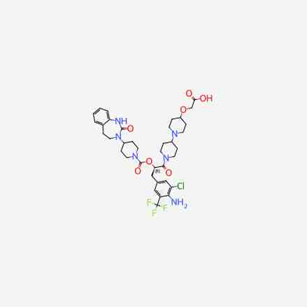 Nc1c(Cl)cc(C[C@@H](OC(=O)N2CCC(N3CCc4ccccc4NC3=O)CC2)C(=O)N2CCC(N3CCC(OCC(=O)O)CC3)CC2)cc1C(F)(F)F